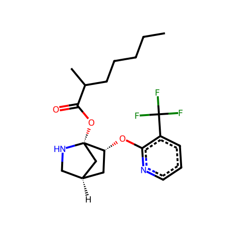 CCCCCC(C)C(=O)O[C@]12C[C@H](CN1)C[C@H]2Oc1ncccc1C(F)(F)F